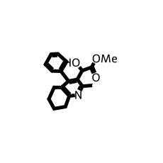 COC(=O)C(O)c1c(C)nc2c(c1-c1ccccc1)CCCC2